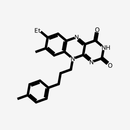 CCc1cc2nc3c(=O)[nH]c(=O)nc-3n(CCCc3ccc(C)cc3)c2cc1C